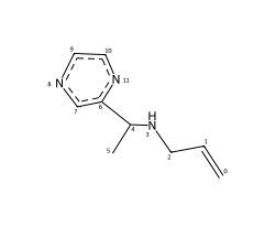 C=CCNC(C)c1[c]nccn1